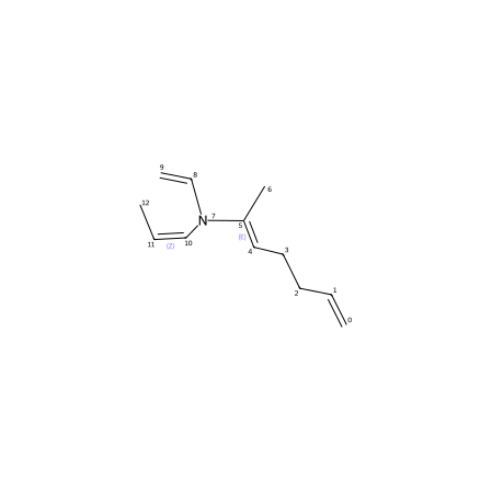 C=CCC/C=C(\C)N(C=C)/C=C\C